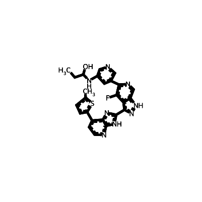 CCC(O)Nc1cncc(-c2ncc3[nH]nc(-c4nc5c(-c6ccc(C)s6)ccnc5[nH]4)c3c2F)c1